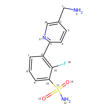 NCc1ccc(-c2cccc(S(N)(=O)=O)c2F)nc1